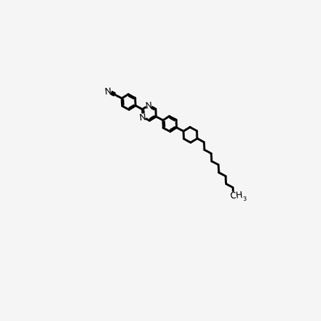 CCCCCCCCCCC1CCC(c2ccc(-c3cnc(-c4ccc(C#N)cc4)nc3)cc2)CC1